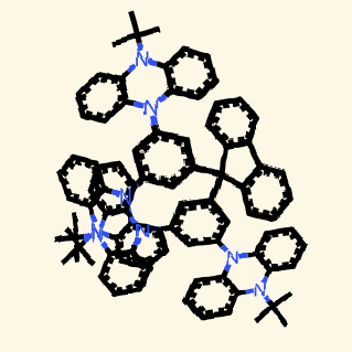 CC(C)(C)N1c2ccccc2N(c2cc(N3c4ccccc4N(C(C)(C)C)c4ccccc43)cc(C3(c4cc(N5c6ccccc6N(C(C)(C)C)c6ccccc65)cc(N5c6ccccc6N(C(C)(C)C)c6ccccc65)c4)c4ccccc4-c4ccccc43)c2)c2ccccc21